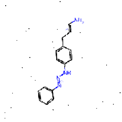 N/C=C/Cc1ccc(N/N=N/c2ccccc2)cc1